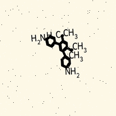 CC(C)c1cc(C(C)C)c(-c2ccc(N)cc2)cc1-c1ccc(N)cc1